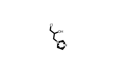 OC(CCl)Cn1ccnc1